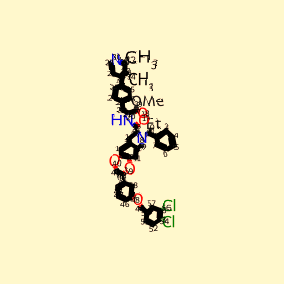 CC[C@@H](c1ccccc1)N1Cc2cc3c(cc2C[C@H]1C(=O)NC(Cc1ccc(-c2ccnc(C)c2C)cc1)C(=O)OC)OC[C@H](c1cccc(OCc2ccc(Cl)c(Cl)c2)c1)O3